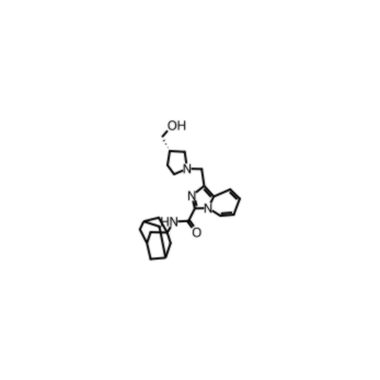 O=C(NC12CC3CC(CC(C3)C1)C2)c1nc(CN2CC[C@H](CO)C2)c2ccccn12